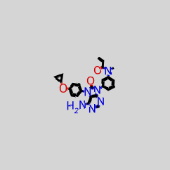 C=CC(=O)N(C)c1cccc(-n2c(=O)n(-c3ccc(OC4CC4)cc3)c3c(N)ncnc32)c1